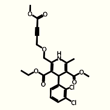 CCOC(=O)C1=C(COCC#CC(=O)OC)NC(C)=C(C(=O)OC)C1c1cccc(Cl)c1Cl